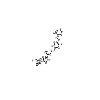 Cc1ccccc1CCc1ccc(CCCC(=O)N2CC[C@@H](OP(=O)(O)O)C2)cc1